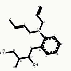 C=CCN(CC=CC)c1ccccc1CC(O)C(C)CO